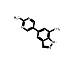 Cc1ncc(-c2cc(C)c3[nH]ncc3c2)cn1